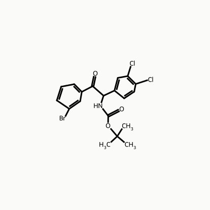 CC(C)(C)OC(=O)NC(C(=O)c1cccc(Br)c1)c1ccc(Cl)c(Cl)c1